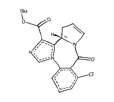 CC(C)(C)OC(=O)c1ncn2c1[C@@H]1CC=CN1C(=O)c1c(Cl)cccc1-2